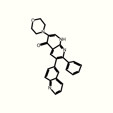 O=c1c(N2CCOCC2)c[nH]c2nc(-c3ccccc3)c(-c3ccc4ncccc4c3)cc12